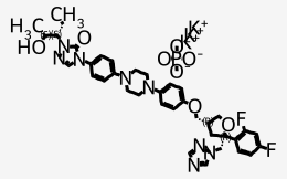 CC[C@@H]([C@H](C)O)n1ncn(-c2ccc(N3CCN(c4ccc(OC[C@@H]5CO[C@@](Cn6cncn6)(c6ccc(F)cc6F)C5)cc4)CC3)cc2)c1=O.O=P([O-])([O-])[O-].[K+].[K+].[K+]